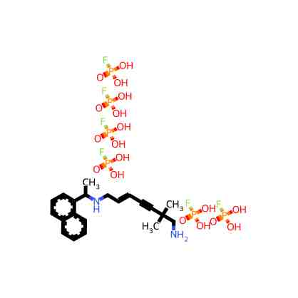 CC(NCC=CC#CC(C)(C)CN)c1cccc2ccccc12.O=P(O)(O)F.O=P(O)(O)F.O=P(O)(O)F.O=P(O)(O)F.O=P(O)(O)F.O=P(O)(O)F